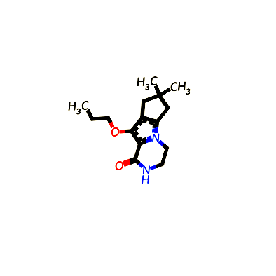 CCCOc1c2c(n3c1C(=O)NCC3)CC(C)(C)C2